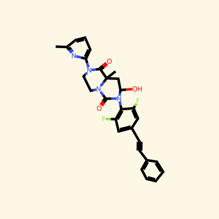 Cc1cccc(N2CCN3C(=O)N(c4c(F)cc(C#Cc5ccccc5)cc4F)C(O)CC3(C)C2=O)n1